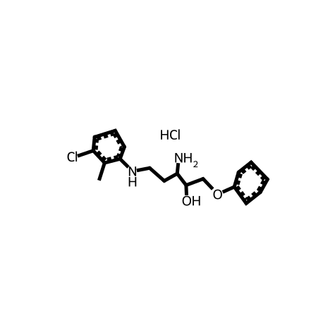 Cc1c(Cl)cccc1NCCC(N)C(O)COc1ccccc1.Cl